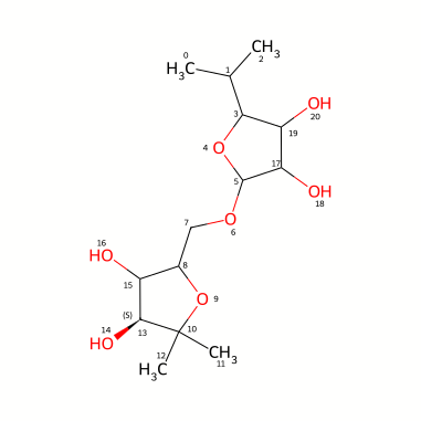 CC(C)C1OC(OCC2OC(C)(C)[C@@H](O)C2O)C(O)C1O